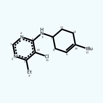 CCc1ncnc(NC2CC=C(C(C)(C)C)CC2)c1Cl